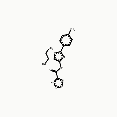 Cc1ccc(-c2nc(NC(=O)c3nnn[nH]3)cs2)cc1.NCCO